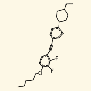 CCCCCOc1ccc(C#Cc2ccc([C@H]3CC[C@H](CC)CC3)cc2)c(F)c1F